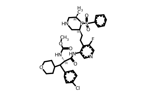 COC(=O)N[C@H](C(=O)Nc1cncc(F)c1CC[C@H]1CNC[C@@H](C)N1S(=O)(=O)c1ccccc1)C(c1ccc(Cl)cc1)C1CCOCC1